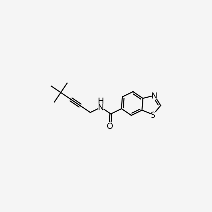 CC(C)(C)C#CCNC(=O)c1ccc2ncsc2c1